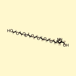 OCCOCCOOCCOCCOCCOCCOCCn1cc(CO)nn1